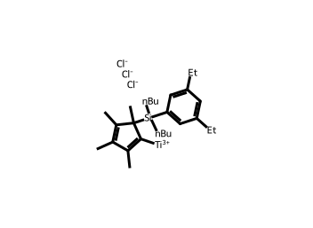 CCCC[Si](CCCC)(c1cc(CC)cc(CC)c1)C1(C)C(C)=C(C)C(C)=[C]1[Ti+3].[Cl-].[Cl-].[Cl-]